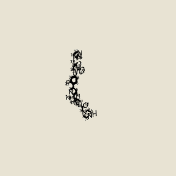 N#C[C@]1(c2ccc(-c3ccc(N4C[C@H](Cn5ccnn5)OC4=O)cc3F)cn2)[C@@H]2CN(C(=O)CN3CCNCC3)C[C@@H]21